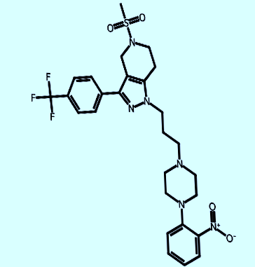 CS(=O)(=O)N1CCc2c(c(-c3ccc(C(F)(F)F)cc3)nn2CCCN2CCN(c3ccccc3[N+](=O)[O-])CC2)C1